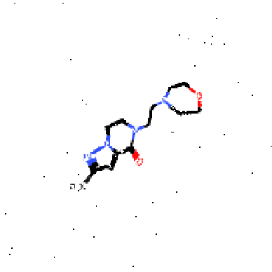 O=C1c2cc([N+](=O)[O-])nn2CCN1CCN1CCOCC1